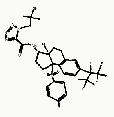 CC(C)(O)Cn1nnnc1C(=O)N[C@@H]1CC[C@@]2(S(=O)(=O)c3ccc(F)cc3)c3ccc(C(F)(C(F)(F)F)C(F)(F)F)cc3CC[C@@H]12